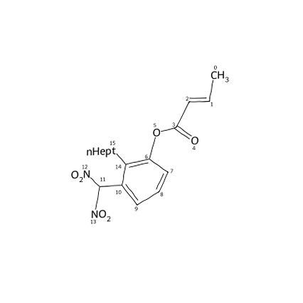 CC=CC(=O)Oc1cccc(C([N+](=O)[O-])[N+](=O)[O-])c1CCCCCCC